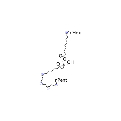 CCCCC/C=C\C/C=C\C/C=C\C/C=C\CCCCCC(=O)O[C@@H](CO)COC(=O)CCCCCCC/C=C\CCCCCC